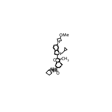 COC1CN(c2ccc3cc(-c4oc5cc(C(=O)N6CC7CCC6[C@@H]7N)ccc5c4C)n(CC4CC4)c3c2)C1